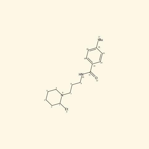 CCC1CCCCN1CCCNC(=O)c1ccc(C(C)(C)C)cc1